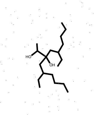 CCCCC(CC)CC(O)(CC(CC)CCCC)C(C)O